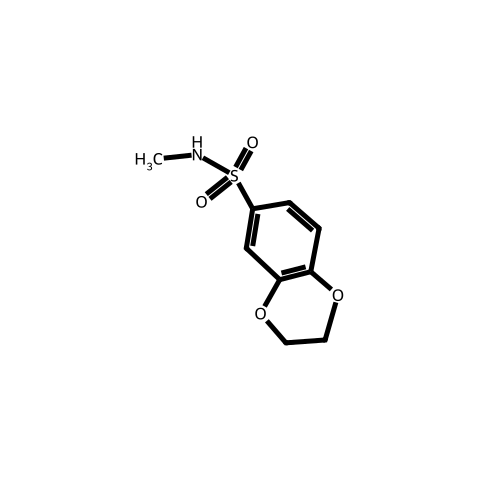 CNS(=O)(=O)c1ccc2c(c1)OCCO2